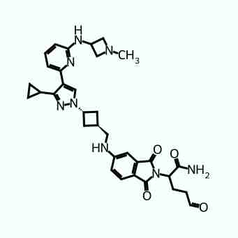 CN1CC(Nc2cccc(-c3cn([C@H]4C[C@H](CNc5ccc6c(c5)C(=O)N(C(CCC=O)C(N)=O)C6=O)C4)nc3C3CC3)n2)C1